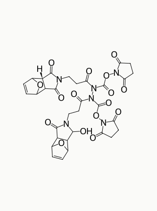 O=C1C2C3C=CC(O3)[C@@H]2C(=O)N1CCC(=O)N(C(=O)ON1C(=O)CCC1=O)N(C(=O)CCN1C(=O)C2C3C=CC(O3)C2C1O)C(=O)ON1C(=O)CCC1=O